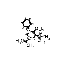 CC(C)OCN(C(=O)C(Cl)[Si](C)(C)C)c1ccccc1